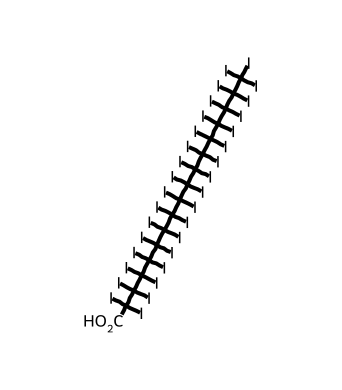 O=C(O)C(I)(I)C(I)(I)C(I)(I)C(I)(I)C(I)(I)C(I)(I)C(I)(I)C(I)(I)C(I)(I)C(I)(I)C(I)(I)C(I)(I)C(I)(I)C(I)(I)C(I)(I)C(I)(I)I